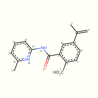 C=C(C)c1ccc(C(=O)O)c(C(=O)Nc2cccc(C)n2)c1